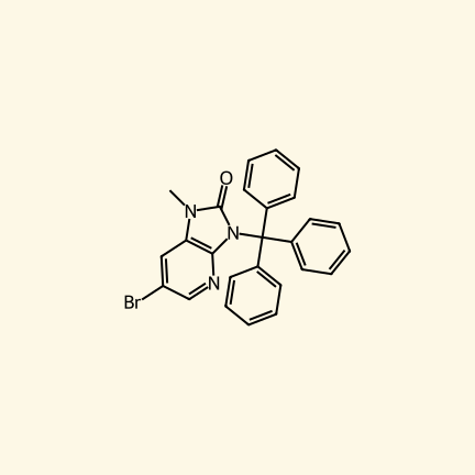 Cn1c(=O)n(C(c2ccccc2)(c2ccccc2)c2ccccc2)c2ncc(Br)cc21